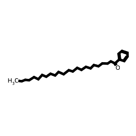 CCCCCCCCCCCCCCCCCCCCCCCC(=O)c1ccccc1